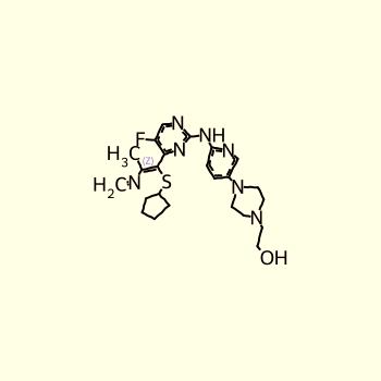 C=N/C(C)=C(\SC1CCCC1)c1nc(Nc2ccc(N3CCN(CCO)CC3)cn2)ncc1F